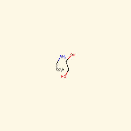 NCC(=O)O.OCCO